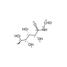 C[C@@H](O)[C@@H](O)[C@H](O)[C@@H](O)C(=O)N[C]=O